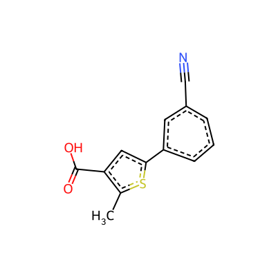 Cc1sc(-c2cccc(C#N)c2)cc1C(=O)O